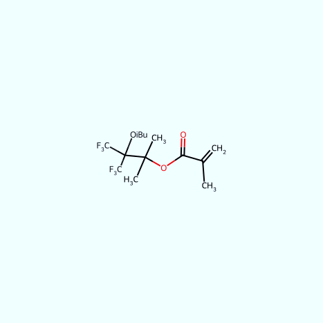 C=C(C)C(=O)OC(C)(C)C(OCC(C)C)(C(F)(F)F)C(F)(F)F